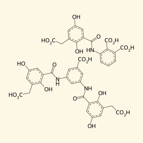 O=C(O)Cc1cc(O)cc(C(=O)Nc2cc(NC(=O)c3cc(O)cc(CC(=O)O)c3O)cc(C(=O)O)c2)c1O.O=C(O)Cc1cc(O)cc(C(=O)Nc2cccc(C(=O)O)c2C(=O)O)c1O